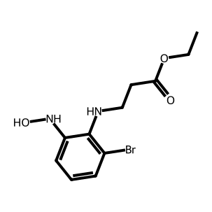 CCOC(=O)CCNc1c(Br)cccc1NO